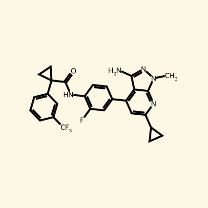 Cn1nc(N)c2c(-c3ccc(NC(=O)C4(c5cccc(C(F)(F)F)c5)CC4)c(F)c3)cc(C3CC3)nc21